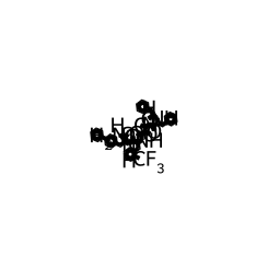 CC(NC(=O)C(Cc1ccccc1)NC(=O)Cc1ccccc1)C(=O)C(=O)NC(Cc1ccccc1C(F)(F)F)C(=O)NC(Cc1ccc(-c2ccccc2)cc1)C(N)=O